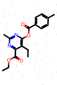 CCOC(=O)c1nc(C)nc(OC(=O)c2ccc(C)cc2)c1CC